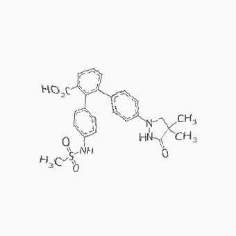 CC1(C)CN(c2ccc(-c3cccc(C(=O)O)c3-c3ccc(NS(C)(=O)=O)cc3)cc2)NC1=O